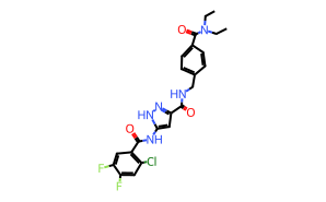 CCN(CC)C(=O)c1ccc(CNC(=O)c2cc(NC(=O)c3cc(F)c(F)cc3Cl)[nH]n2)cc1